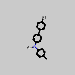 CCc1ccc(-c2ccc(N(C(C)=O)c3ccc(C)cc3)cc2)cc1